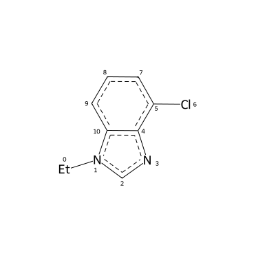 CCn1cnc2c(Cl)cccc21